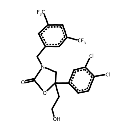 O=C1OC(CCO)(c2ccc(Cl)c(Cl)c2)CN1Cc1cc(C(F)(F)F)cc(C(F)(F)F)c1